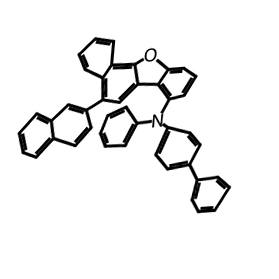 c1ccc(-c2ccc(N(c3ccccc3)c3cccc4oc5c6ccccc6c(-c6ccc7ccccc7c6)cc5c34)cc2)cc1